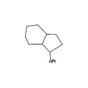 CCCC1CCC2CCCCC12